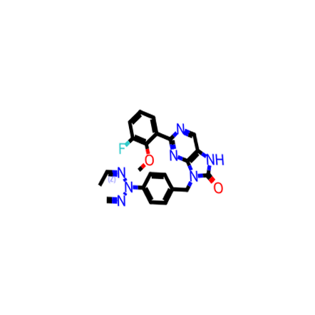 C=NN(/N=C\C)c1ccc(Cn2c(=O)[nH]c3cnc(-c4cccc(F)c4OC)nc32)cc1